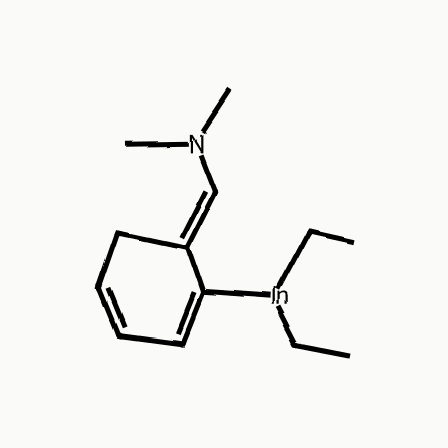 C[CH2][In]([CH2]C)[C]1=CC=CCC1=CN(C)C